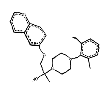 Cc1cccc(C)c1N1CCN(C(C)(O)COc2ccc3ncccc3c2)CC1